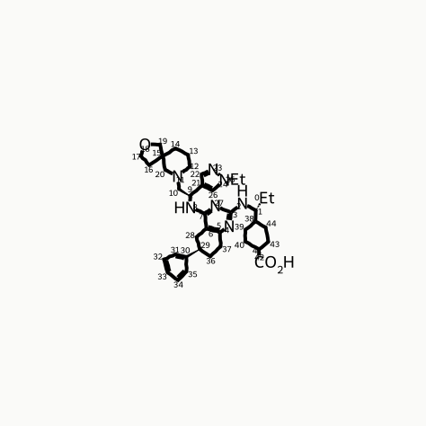 CC[C@@H](Nc1nc2c(c(N[C@@H](CN3CCCC4(CCOC4)C3)c3cnn(CC)c3)n1)C[C@H](c1ccccc1)CC2)C1CCC(C(=O)O)CC1